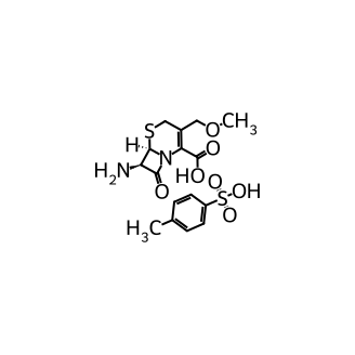 COCC1=C(C(=O)O)N2C(=O)[C@@H](N)[C@H]2SC1.Cc1ccc(S(=O)(=O)O)cc1